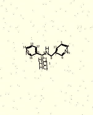 Cl.Cl.Cl.c1cncc(CNCc2cccnc2)c1